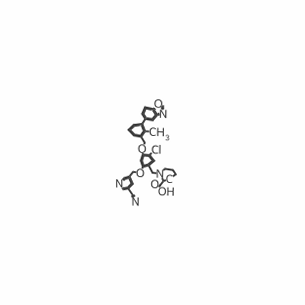 Cc1c(COc2cc(OCc3cncc(C#N)c3)c(CN3CCCCC3C(=O)O)cc2Cl)cccc1-c1ccc2ocnc2c1